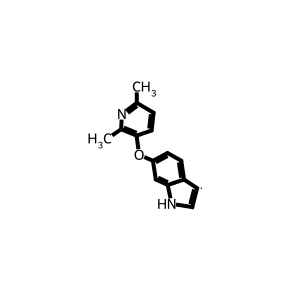 Cc1ccc(Oc2ccc3[c]c[nH]c3c2)c(C)n1